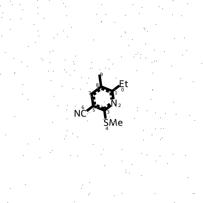 CCc1nc(SC)c(C#N)cc1C